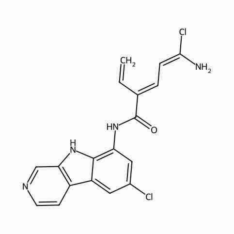 C=C/C(=C\C=C(/N)Cl)C(=O)Nc1cc(Cl)cc2c1[nH]c1cnccc12